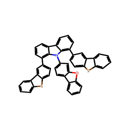 c1ccc2c(c1)oc1cc(-n3c4c(-c5ccc6sc7ccccc7c6c5)cccc4c4cccc(-c5ccc6sc7ccccc7c6c5)c43)ccc12